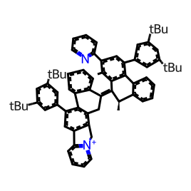 Cc1c(-c2ccccn2)cc(-c2cc(C(C)(C)C)cc(C(C)(C)C)c2)c2c1/C(=C1/Cc3c4c(cc(-c5cc(C(C)(C)C)cc(C(C)(C)C)c5)c3-c3ccccc31)-c1cccc[n+]1C4)[C@H](C)c1ccccc1-2